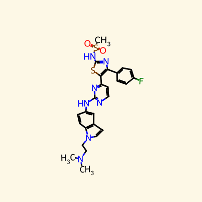 CN(C)CCn1ccc2cc(Nc3nccc(-c4sc(NS(C)(=O)=O)nc4-c4ccc(F)cc4)n3)ccc21